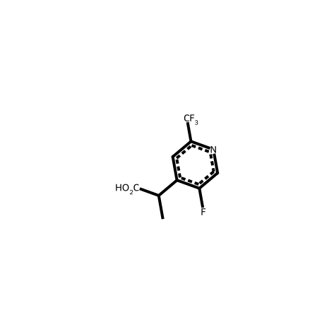 CC(C(=O)O)c1cc(C(F)(F)F)ncc1F